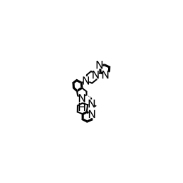 CN(C[C@H]1Cc2c(cccc2N2CCN(c3ncccn3)CC2)CN1)C1CCCc2cccnc21